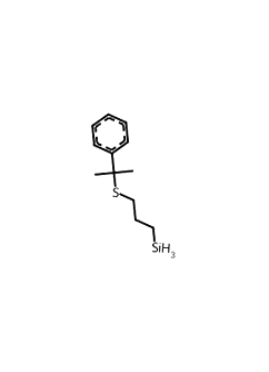 CC(C)(SCCC[SiH3])c1ccccc1